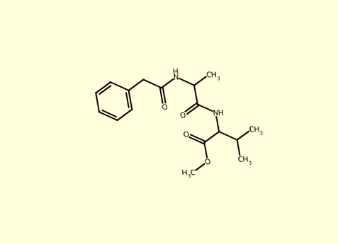 COC(=O)C(NC(=O)C(C)NC(=O)Cc1ccccc1)C(C)C